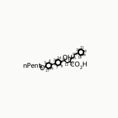 CCCCCOc1ccc(-c2ccc(C(O)CC(CCCc3ccccc3)C(=O)O)cc2)cc1